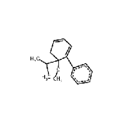 CCC1(C(C)C)CC=CC=C1c1ccccc1